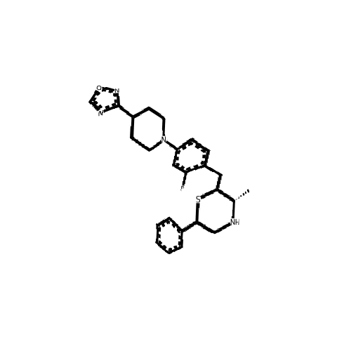 C[C@@H]1NCC(c2ccccc2)SC1Cc1ccc(N2CCC(c3ncon3)CC2)cc1F